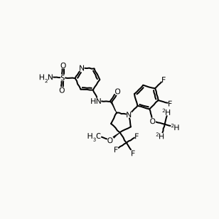 [2H]C([2H])([2H])Oc1c(N2C[C@](OC)(C(F)(F)F)C[C@H]2C(=O)Nc2ccnc(S(N)(=O)=O)c2)ccc(F)c1F